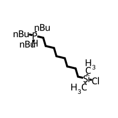 CCCC[PH](CCCC)(CCCC)CCCCCCCC[Si](C)(C)Cl